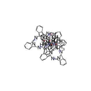 C[Si](C)(C)O[Si]1(O[Si](O)(O)O[Si]2(O[Si](C)(C)C)n3c4c5ccccc5c3/N=C3N=C(/N=c5/c6ccccc6/c(n52)=N/C2=NC(=N\4)/c4ccccc42)c2ccccc2\3)n2c3c4ccccc4c2/N=C2N=C(/N=c4/c5ccccc5/c(n41)=N/C1=NC(=N\3)/c3ccccc31)c1ccccc1\2